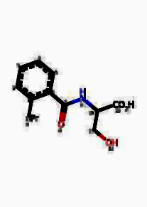 CCCc1ccccc1C(=O)NC(CO)C(=O)O